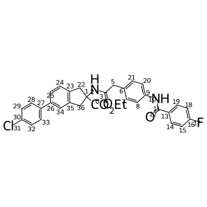 CCOC(=O)C1(NC(=O)Cc2ccc(NC(=O)c3ccc(F)cc3)cc2)Cc2ccc(-c3ccc(Cl)cc3)cc2C1